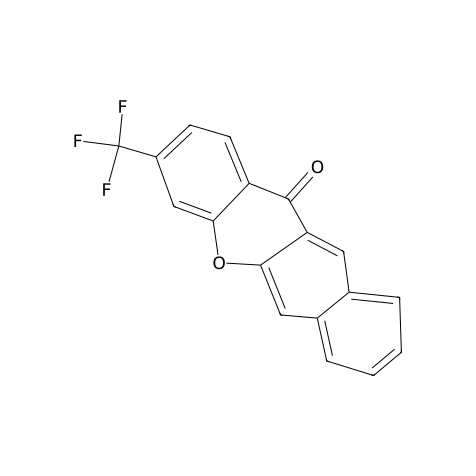 O=c1c2ccc(C(F)(F)F)cc2oc2cc3ccccc3cc12